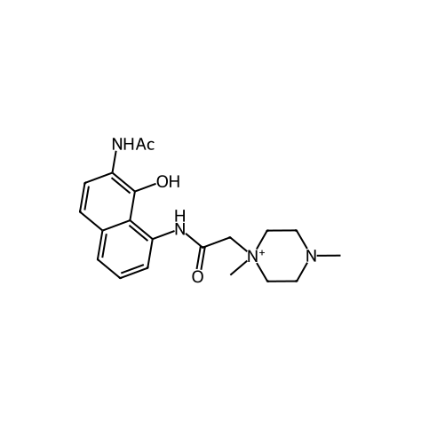 CC(=O)Nc1ccc2cccc(NC(=O)C[N+]3(C)CCN(C)CC3)c2c1O